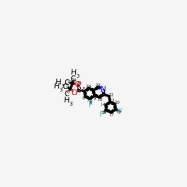 CC1(C)OB(c2cc(F)c3cc(Cc4cc(F)cc(F)c4)ncc3c2)OC1(C)C